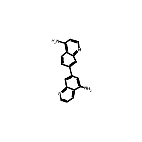 Nc1ccnc2cc(-c3cc(N)c4cccnc4c3)ccc12